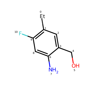 CCc1cc(CO)c(N)cc1F